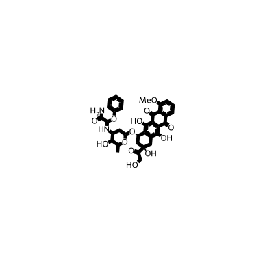 COc1cccc2c1C(=O)c1c(O)c3c(c(O)c1C2=O)C[C@@](O)(C(=O)CO)C[C@@H]3OC1CC(NC(Oc2ccccc2)C(N)=O)C(O)C(C)O1